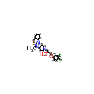 CN(C1=Nc2ccccc2CS1)C1CCN(C[C@H](O)COc2ccc(F)c(F)c2)CC1